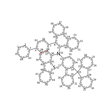 c1ccc(-c2ccc(-c3c(N(c4ccc(C5(c6ccccc6)c6ccccc6-c6ccccc65)cc4)c4cccc5c4sc4ccccc45)c4ccccc4c4ccccc34)cc2)cc1